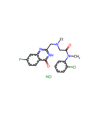 CCN(CC(=O)N(C)c1ccccc1Cl)Cc1nc2cc(F)ccc2c(=O)[nH]1.Cl